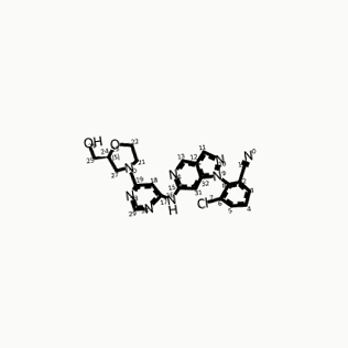 N#Cc1cccc(Cl)c1-n1ncc2cnc(Nc3cc(N4CCO[C@H](CO)C4)ncn3)cc21